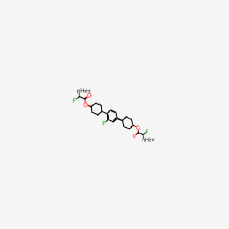 CCCCCC[C@H](F)C(=O)OC1CCC(c2ccc(C3CCC(OC(=O)[C@@H](F)CCCCCC)CC3)c(F)c2)CC1